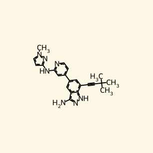 Cn1ccc(Nc2cc(-c3cc(C#CC(C)(C)C)c4[nH]nc(N)c4c3)ccn2)n1